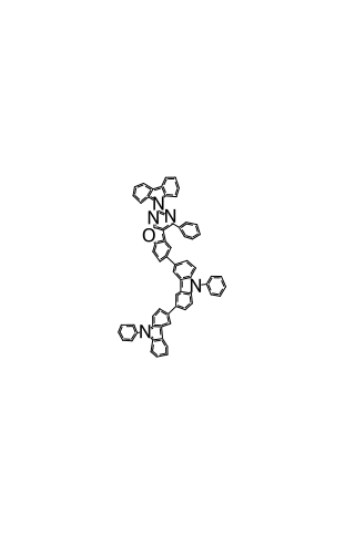 c1ccc(-c2nc(-n3c4ccccc4c4ccccc43)nc3oc4ccc(-c5ccc6c(c5)c5cc(-c7ccc8c(c7)c7ccccc7n8-c7ccccc7)ccc5n6-c5ccccc5)cc4c23)cc1